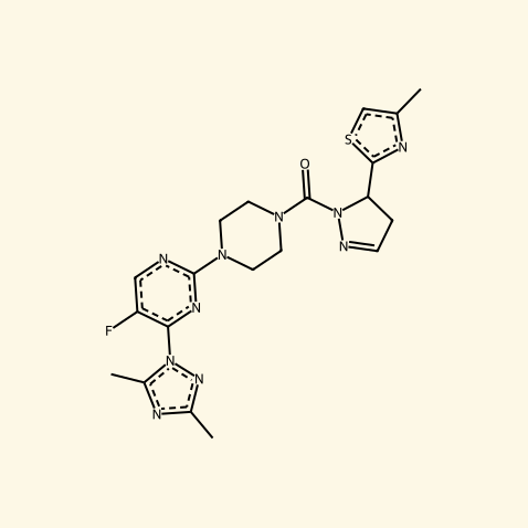 Cc1csc(C2CC=NN2C(=O)N2CCN(c3ncc(F)c(-n4nc(C)nc4C)n3)CC2)n1